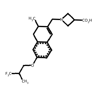 CC1Cc2cc(OCC(C)C(F)(F)F)ccc2C=C1CN1CC(C(=O)O)C1